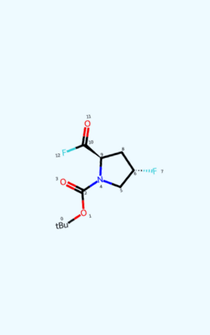 CC(C)(C)OC(=O)N1C[C@@H](F)C[C@@H]1C(=O)F